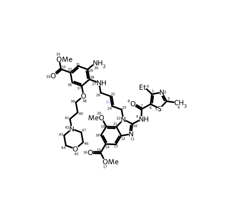 CCc1nc(C)sc1C(=O)Nc1nc2cc(C(=O)OC)cc(OC)c2n1C/C=C/CNc1c(N)cc(C(=O)OC)cc1OCCCN1CCOCC1